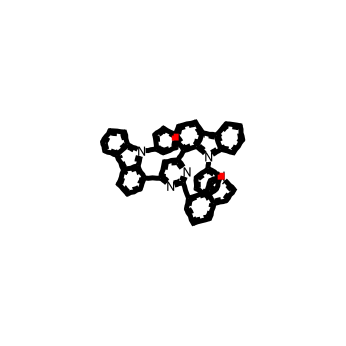 c1ccc(-n2c3ccccc3c3cccc(-c4cc(-c5cccc6c7ccccc7n(-c7ccccc7)c56)nc(-c5cccc6ccncc56)n4)c32)cc1